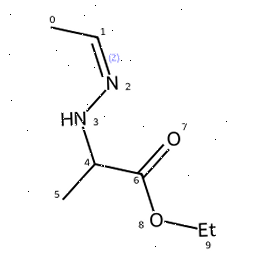 C/C=N\NC(C)C(=O)OCC